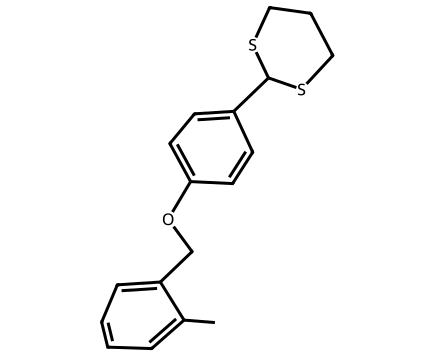 Cc1ccccc1COc1ccc(C2SCCCS2)cc1